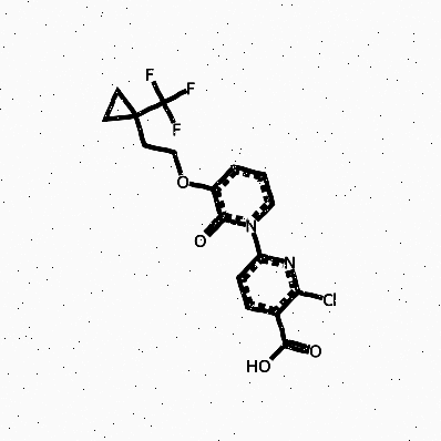 O=C(O)c1ccc(-n2cccc(OCCC3(C(F)(F)F)CC3)c2=O)nc1Cl